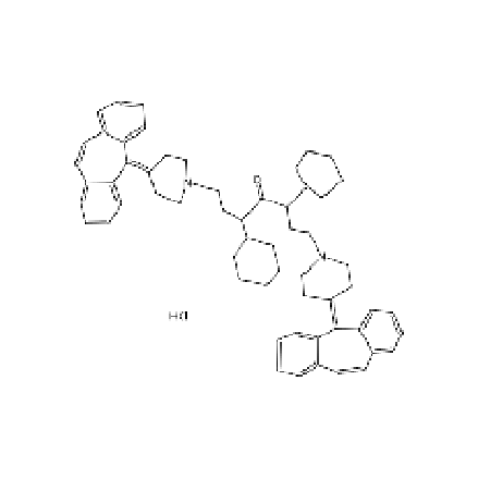 Cl.O=C(C(CCN1CCC(=C2c3ccccc3C=Cc3ccccc32)CC1)C1CCCCC1)C(CCN1CCC(=C2c3ccccc3C=Cc3ccccc32)CC1)C1CCCCC1